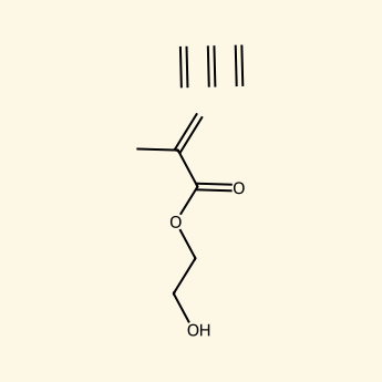 C=C.C=C.C=C.C=C(C)C(=O)OCCO